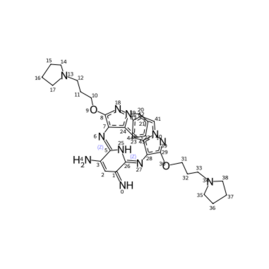 N=C1C=C(N)/C(=N/c2c(OCCCN3CCCC3)nn3ccccc23)N/C1=N\c1c(OCCCN2CCCC2)nn2ccccc12